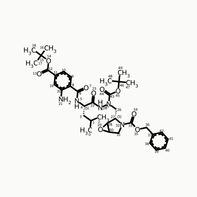 CC(C)C[C@H](NC(=O)c1ccc(C(=O)OC(C)(C)C)cc1N)C(=O)NN(C[C@H]1C2OC2CN1C(=O)OCc1ccccc1)C(=O)OC(C)(C)C